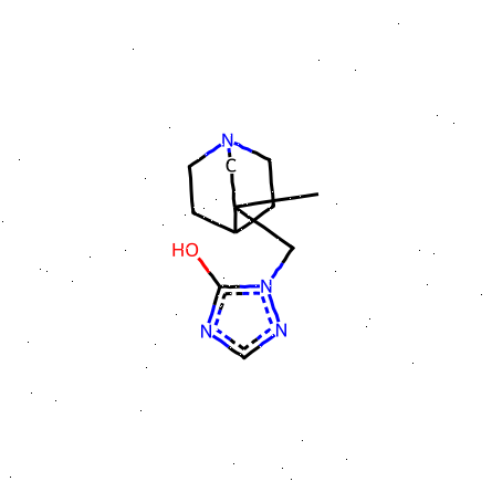 CC1(Cn2ncnc2O)CN2CCC1CC2